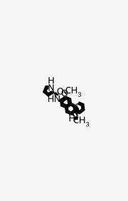 COc1cc2c(cc1NC(=O)[C@H]1CCCN1)C[C@H]1C3CCCC[C@@]23CCN1C